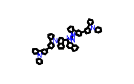 c1ccc(-n2c3ccccc3c3cc(-c4ccc5c(c4)c4ccccc4n5-c4nc(-c5ccc(-n6c7ccccc7c7cc(-c8ccc9c(c8)c8ccccc8n9-c8ccccc8)ccc76)c6ccccc56)c5ccc6ccccc6c5n4)ccc32)cc1